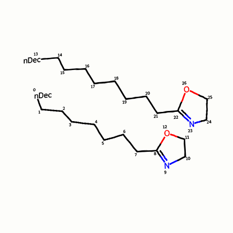 CCCCCCCCCCCCCCCCCC1=NCCO1.CCCCCCCCCCCCCCCCCCC1=NCCO1